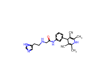 CC1=C(C#N)C(c2cccc(NC(=O)CNCCc3cnc[nH]3)c2)C(C#N)=C(C)N1